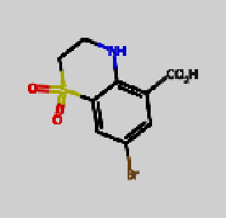 O=C(O)c1cc(Br)cc2c1NCCS2(=O)=O